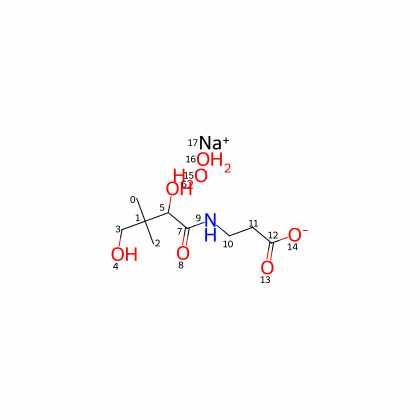 CC(C)(CO)C(O)C(=O)NCCC(=O)[O-].O.O.[Na+]